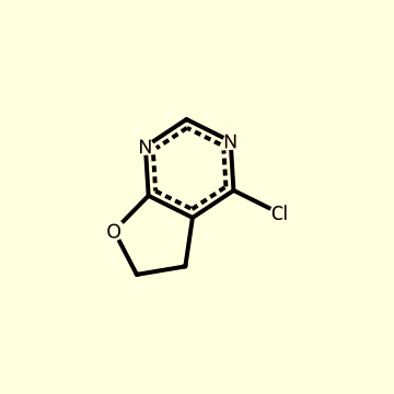 Clc1ncnc2c1CCO2